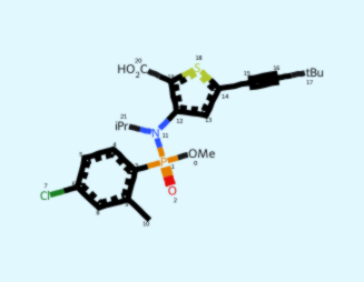 COP(=O)(c1ccc(Cl)cc1C)N(c1cc(C#CC(C)(C)C)sc1C(=O)O)C(C)C